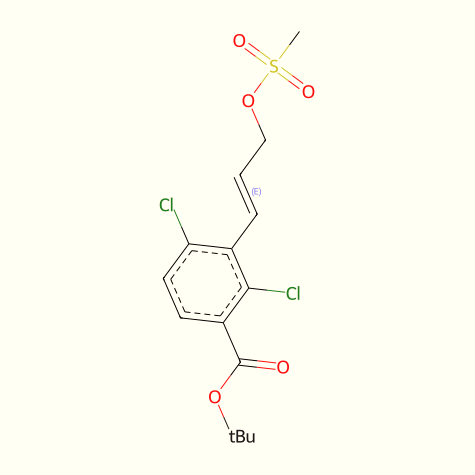 CC(C)(C)OC(=O)c1ccc(Cl)c(/C=C/COS(C)(=O)=O)c1Cl